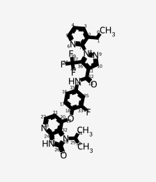 CCc1cccnc1-n1ncc(C(=O)Nc2ccc(Oc3ccnc4[nH]c(=O)n(C(C)C)c34)c(F)c2)c1C(F)(F)F